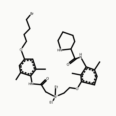 CC[N+](CC)(CCOc1ccc(C)c(NC(=O)C2CCCCN2)c1C)CC(=O)Nc1c(C)cc(OCCCCBr)cc1C